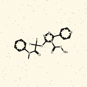 CN(C(=O)C(F)(F)Sc1nnc(-c2ccncc2)n1C(=O)OC(C)(C)C)c1ccccc1